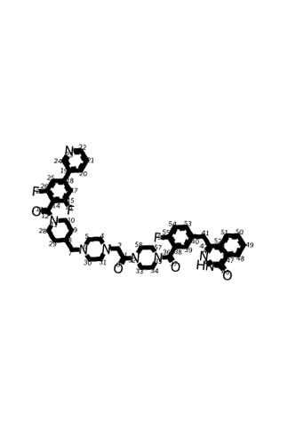 O=C(CN1CCN(CC2CCN(C(=O)c3c(F)cc(-c4cccnc4)cc3F)CC2)CC1)N1CCN(C(=O)c2cc(Cc3n[nH]c(=O)c4ccccc34)ccc2F)CC1